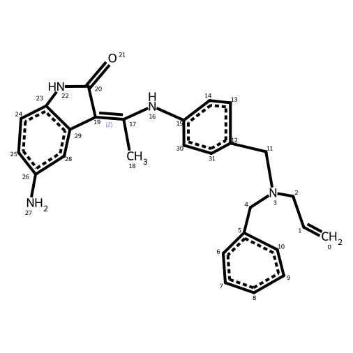 C=CCN(Cc1ccccc1)Cc1ccc(N/C(C)=C2\C(=O)Nc3ccc(N)cc32)cc1